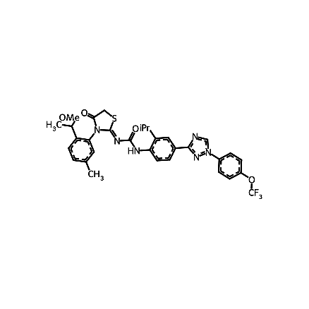 COC(C)c1ccc(C)cc1N1C(=O)CSC1=NC(=O)Nc1ccc(-c2ncn(-c3ccc(OC(F)(F)F)cc3)n2)cc1C(C)C